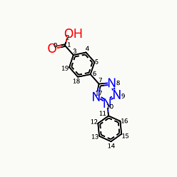 O=C(O)c1ccc(-c2nnn(-c3ccccc3)n2)cc1